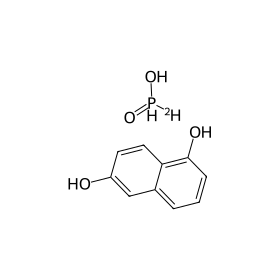 Oc1ccc2c(O)cccc2c1.[2H][PH](=O)O